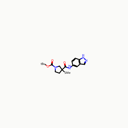 CSC1(C(=O)Nc2ccc3[nH]ncc3c2)CCN(C(=O)OC(C)(C)C)C1